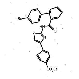 CCOC(=O)c1ccc(-c2csc(NC(=O)c3ccccc3-c3ccc(C(C)(C)C)cc3)n2)cc1